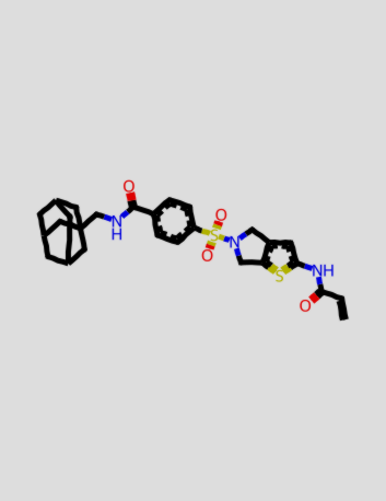 C=CC(=O)Nc1cc2c(s1)CN(S(=O)(=O)c1ccc(C(=O)NCC34CC5CC(CC(C5)C3)C4)cc1)C2